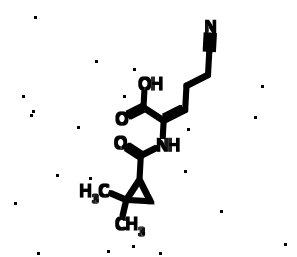 CC1(C)CC1C(=O)NC(=CCCC#N)C(=O)O